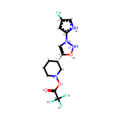 O=C(ON1CCC[C@H](C2=CN(c3cc(F)c[nH]3)NO2)C1)C(F)(F)F